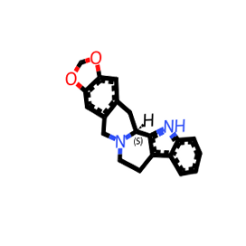 c1ccc2c3c([nH]c2c1)[C@@H]1Cc2cc4c(cc2CN1CC3)OCO4